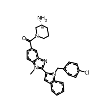 Cn1c(-c2cc3ccccc3n2Cc2ccc(Cl)cc2)nc2cc(C(=O)N3CCC[C@@H](N)C3)ccc21